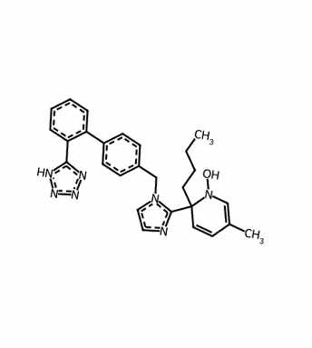 CCCCC1(c2nccn2Cc2ccc(-c3ccccc3-c3nnn[nH]3)cc2)C=CC(C)=CN1O